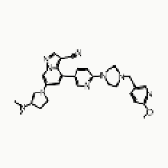 COc1ccc(CN2CCN(c3ccc(-c4cc(N5CCC(N(C)C)C5)cn5ncc(C#N)c45)cn3)CC2)cn1